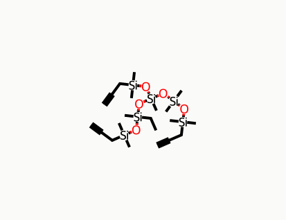 C#CC[Si](C)(C)O[Si](C)(C)O[Si](C)(O[Si](C)(C)CC#C)O[Si](C)(CC)O[Si](C)(C)CC#C